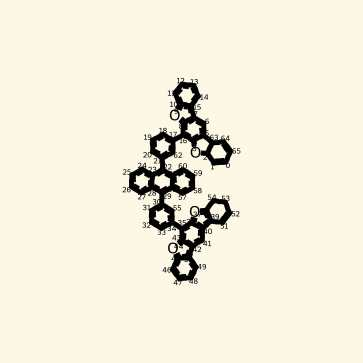 C1=CC2Oc3c(cc4c(oc5ccccc54)c3-c3cccc(-c4c5ccccc5c(-c5cccc(-c6c7oc8c(c7cc7c6oc6ccccc67)C=CCC8)c5)c5ccccc45)c3)C2C=C1